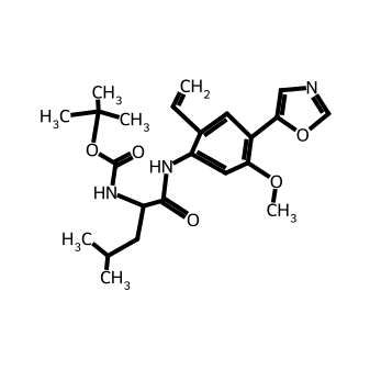 C=Cc1cc(-c2cnco2)c(OC)cc1NC(=O)C(CC(C)C)NC(=O)OC(C)(C)C